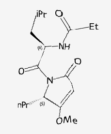 CCC[C@H]1C(OC)=CC(=O)N1C(=O)[C@@H](CC(C)C)NC(=O)CC